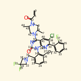 C=CC(=O)N1CC(C)N(c2nc(=O)n(-c3c(CN4CC(F)(F)C4)cccc3C(C)C)c3nc(-c4ccccc4F)c(Cl)cc23)CC1C